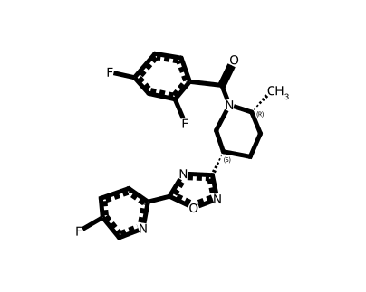 C[C@@H]1CC[C@H](c2noc(-c3ccc(F)cn3)n2)CN1C(=O)c1ccc(F)cc1F